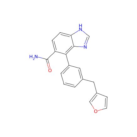 NC(=O)c1ccc2[nH]cnc2c1-c1cccc(Cc2ccoc2)c1